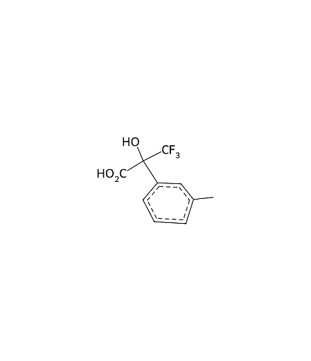 Cc1cccc(C(O)(C(=O)O)C(F)(F)F)c1